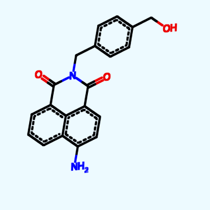 Nc1ccc2c3c(cccc13)C(=O)N(Cc1ccc(CO)cc1)C2=O